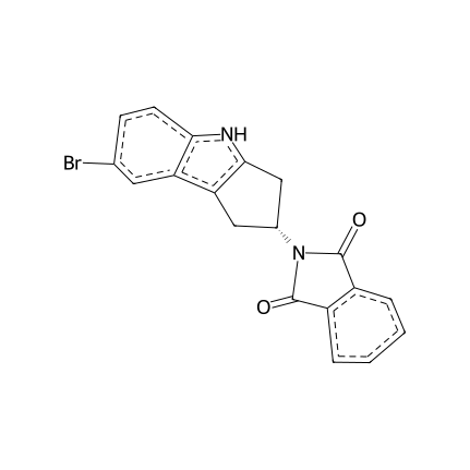 O=C1c2ccccc2C(=O)N1[C@H]1Cc2[nH]c3ccc(Br)cc3c2C1